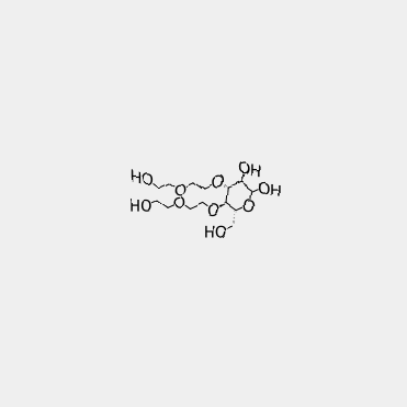 OCCOCCO[C@H]1[C@H](OCCOCCO)[C@@H](O)C(O)O[C@@H]1CO